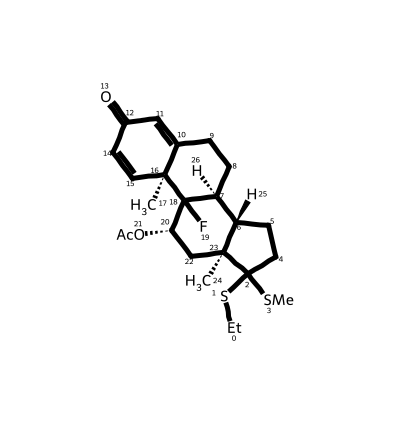 CCSC1(SC)CC[C@H]2[C@@H]3CCC4=CC(=O)C=C[C@]4(C)C3(F)[C@@H](OC(C)=O)C[C@@]21C